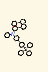 c1ccc(-c2cccc3cccc(-c4cccc(N(c5ccccc5)c5ccc(-c6ccc([Si](c7ccccc7)(c7ccccc7)c7ccccc7)cc6)cc5)c4)c23)cc1